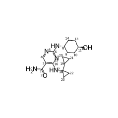 NC(=O)c1cnc(N[C@H]2CC[C@H](O)CC2)nc1NC1(C2CC2)CC1